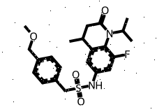 COCc1ccc(CS(=O)(=O)Nc2cc(F)c3c(c2)C(C)CC(=O)N3C(C)C)cc1